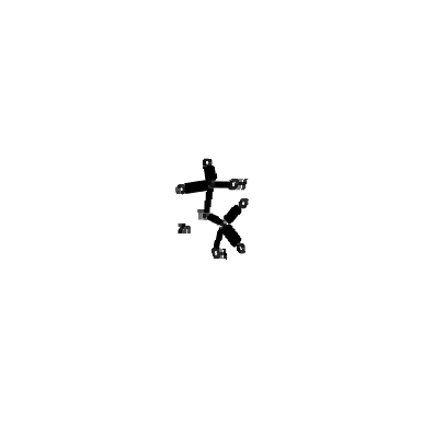 O=S(=O)(O)[Te]S(=O)(=O)O.[Zn]